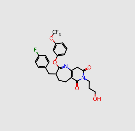 O=C1CC2=C(CCC(Cc3ccc(F)cc3)C(Oc3cccc(OC(F)(F)F)c3)=N2)C(=O)N1CCCO